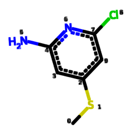 CSc1cc(N)nc(Cl)c1